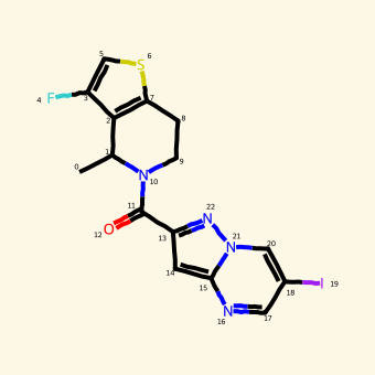 CC1c2c(F)csc2CCN1C(=O)c1cc2ncc(I)cn2n1